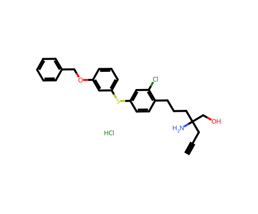 C#CCC(N)(CO)CCCc1ccc(Sc2cccc(OCc3ccccc3)c2)cc1Cl.Cl